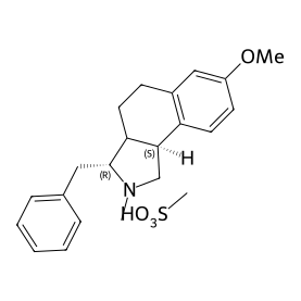 COc1ccc2c(c1)CCC1[C@@H]2CN(C)[C@@H]1Cc1ccccc1.CS(=O)(=O)O